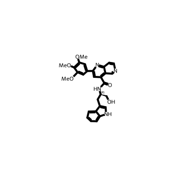 COc1cc(-c2cc(C(=O)N[C@@H](CO)Cc3c[nH]c4ccccc34)c3cnccc3n2)cc(OC)c1OC